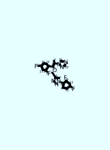 C/C(=C(/OCc1cn(-c2ccc(F)cc2F)nn1)c1ccc(F)cc1F)n1cncn1